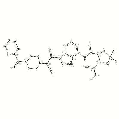 COC(=O)[C@H]1OC(C)(C)O[C@@H]1C(=O)Nc1cccc2c(C(=O)C(=O)N3CCN(C(=O)c4ccccc4)CC3)c[nH]c12